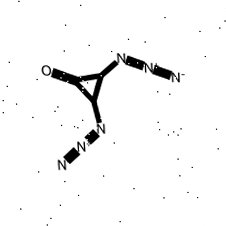 [N-]=[N+]=NC1C(=O)C1N=[N+]=[N-]